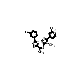 Cc1cc(-c2nnc(SC(C)c3nnc(-c4cccc(Cl)c4)o3)n2C)ccn1